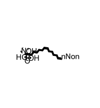 CCCCCCCCC/C=C\CCCC/C=C\CCCCCC(O)(C[N+](C)(C)C)P(=O)(O)O